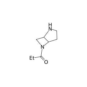 CCC(=O)N1CC2NCCC21